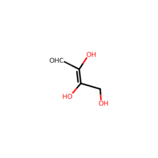 O=CC(O)=C(O)CO